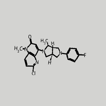 C[C@H]1[C@@H]2CN(c3ccc(F)cc3)C[C@@H]2CN1c1cc(=O)n(C)c2ccc(Cl)nc12